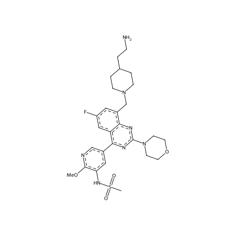 COc1ncc(-c2nc(N3CCOCC3)nc3c(CN4CCC(CCN)CC4)cc(F)cc23)cc1NS(C)(=O)=O